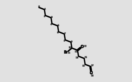 CCCCCCCCCCC(Br)C(=O)CCCC=O